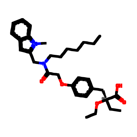 CCCCCCCN(Cc1cc2ccccc2n1C)C(=O)COc1ccc(C[C@](CC)(OCC)C(=O)O)cc1